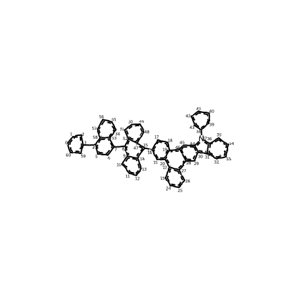 c1ccc(-c2ccc(-c3c4ccccc4c(-c4ccc5c(c4)c4ccccc4c4cc6c7ccccc7n(-c7ccccc7)c6cc54)c4ccccc34)c3ccccc23)cc1